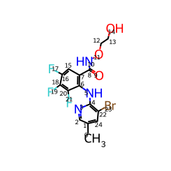 Cc1cnc(Nc2c(C(=O)NOCCO)cc(F)c(F)c2F)c(Br)c1